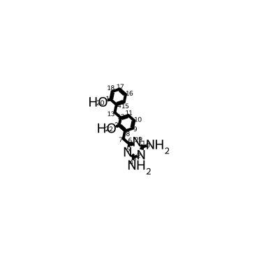 Nc1nc(N)nc(Cc2cccc(Cc3ccccc3O)c2O)n1